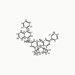 c1ccc(-c2ccc3c(c2)Sc2cc(Nc4ccc(-c5ccccc5)c5ccccc45)ccc2C32c3ccccc3-c3ccccc32)cc1